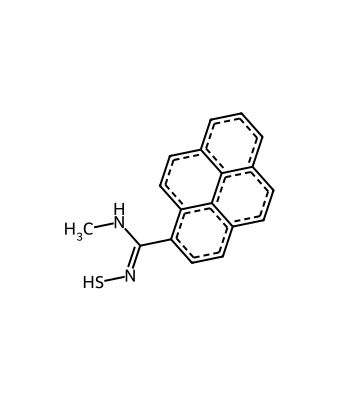 CN/C(=N\S)c1ccc2ccc3cccc4ccc1c2c34